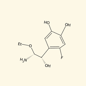 CCO[C@@H](N)[C@@H](O)c1cc(O)c(O)cc1F